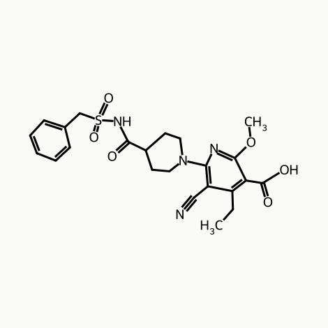 CCc1c(C#N)c(N2CCC(C(=O)NS(=O)(=O)Cc3ccccc3)CC2)nc(OC)c1C(=O)O